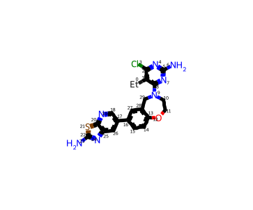 CCc1c(Cl)nc(N)nc1N1CCOc2ccc(-c3cnc4sc(N)nc4c3)cc2C1